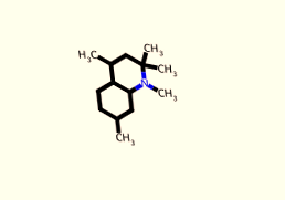 CC1CCC2C(C)CC(C)(C)N(C)C2C1